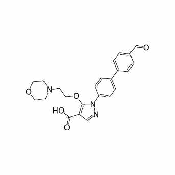 O=Cc1ccc(-c2ccc(-n3ncc(C(=O)O)c3OCCN3CCOCC3)cc2)cc1